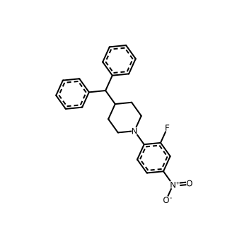 O=[N+]([O-])c1ccc(N2CCC(C(c3ccccc3)c3ccccc3)CC2)c(F)c1